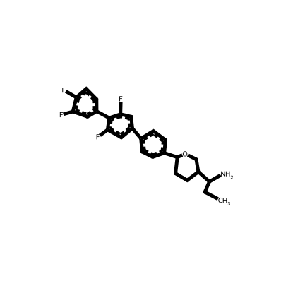 CCC(N)C1CCC(c2ccc(-c3cc(F)c(-c4ccc(F)c(F)c4)c(F)c3)cc2)OC1